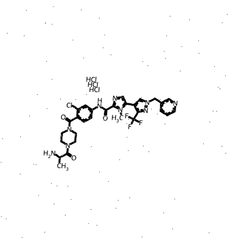 CC(N)C(=O)N1CCN(C(=O)c2ccc(NC(=O)c3ncc(-c4cn(Cc5cccnc5)nc4C(F)(F)F)n3C)cc2Cl)CC1.Cl.Cl.Cl